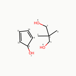 CC(C)(CO)CO.OC1C=CC=C1